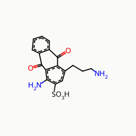 NCCCc1cc(S(=O)(=O)O)c(N)c2c1C(=O)c1ccccc1C2=O